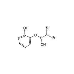 CC(C)C(Br)B(O)Oc1ccccc1O